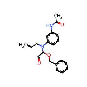 C=CCN(c1cccc(NC(C)=O)c1)C(C=O)OCc1ccccc1